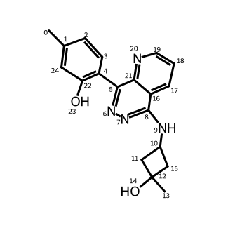 Cc1ccc(-c2nnc(NC3CC(C)(O)C3)c3cccnc23)c(O)c1